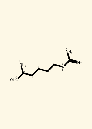 N=C(N)NCCCCC(N)[C]=O